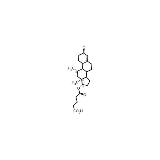 C[C@H]1C[C@@]2(C)C(CC[C@@H]2OC(=O)CCCC(=O)O)C2CCC3=CC(=O)CCC3C21